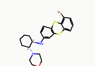 Brc1cccc2c1Sc1ccc(N[C@@H]3CCCC[C@H]3N3CCOCC3)cc1S2